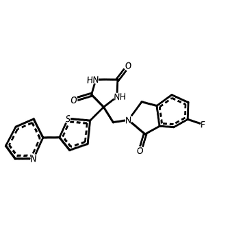 O=C1NC(=O)C(CN2Cc3ccc(F)cc3C2=O)(c2ccc(-c3ccccn3)s2)N1